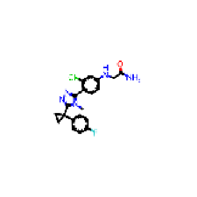 Cn1c(-c2ccc(NCC(N)=O)cc2Cl)nnc1C1(c2ccc(F)cc2)CC1